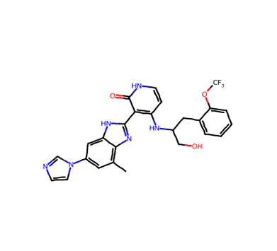 Cc1cc(-n2ccnc2)cc2[nH]c(-c3c(NC(CO)Cc4ccccc4OC(F)(F)F)cc[nH]c3=O)nc12